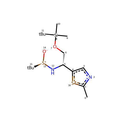 Cc1ncc([C@@H](CO[Si](C)(C)C(C)(C)C)N[S@+]([O-])C(C)(C)C)s1